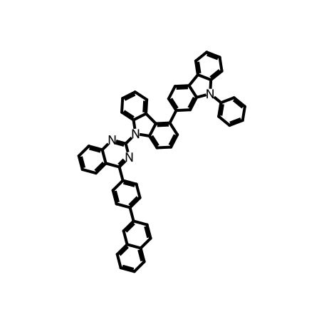 c1ccc(-n2c3ccccc3c3ccc(-c4cccc5c4c4ccccc4n5-c4nc(-c5ccc(-c6ccc7ccccc7c6)cc5)c5ccccc5n4)cc32)cc1